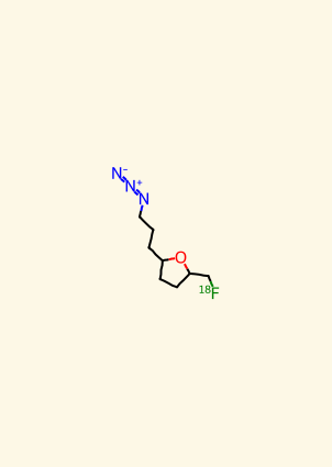 [N-]=[N+]=NCCCC1CCC(C[18F])O1